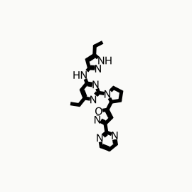 CCc1cc(Nc2cc(CC)[nH]n2)nc(N2CCCC2c2cc(-c3ncccn3)no2)n1